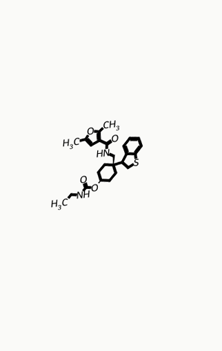 CCNC(=O)O[C@H]1CC[C@@](CNC(=O)c2cc(C)oc2C)(C2CSc3ccccc32)CC1